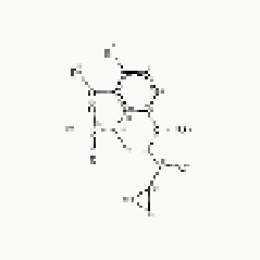 CCOc1c(Br)ccc(C(=O)CC(=O)C2CC2)c1N(C)S(C)(=O)=O